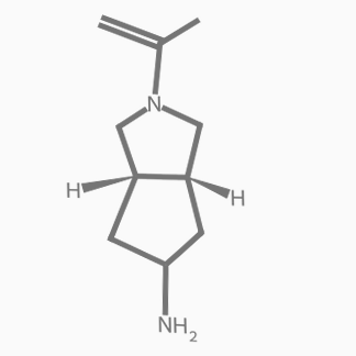 C=C(C)N1C[C@H]2CC(N)C[C@H]2C1